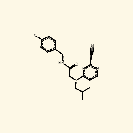 CC(C)CN(CC(=O)NCc1ccc(F)cc1)c1ccnc(C#N)n1